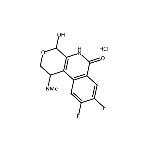 CNC1COC(O)c2[nH]c(=O)c3cc(F)c(F)cc3c21.Cl